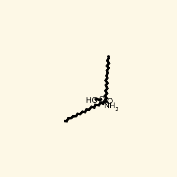 CCCCCCCCCCCCCCCCCCC(CCCCCCCCCCCCCCCCCC)(OCCO)C(N)=O